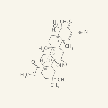 COC(=O)[C@]12CCC(C)(C)CC1[C@@]1(O)C(=O)C=C3[C@@]4(C)C=C(C#N)C(=O)C(C)(C)[C@@H]4CC[C@@]3(C)[C@]1(C)CC2